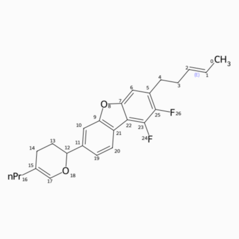 C/C=C/CCc1cc2oc3cc(C4CCC(CCC)=CO4)ccc3c2c(F)c1F